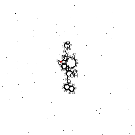 CCc1nn(CCN2CCOCC2)c2c1-c1c(Cl)ccc3c(CCCOc4cccc5ccccc45)c(C(=O)O)n(c13)CCCCN(C)C2